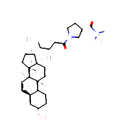 CC(CCC(=O)N1CC[C@H](C(=O)N(C)C)C1)[C@H]1CC[C@H]2[C@@H]3CC=C4C[C@@H](O)CC[C@]4(C)[C@H]3CC[C@]12C